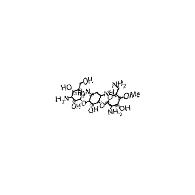 CO[C@@H]1C(CN)O[C@H](O[C@@H]2C(N)C[C@@H](N)C(OC3O[C@H](CO)[C@@H](O)C(N)[C@H]3O)[C@H]2O)C(N)[C@H]1O